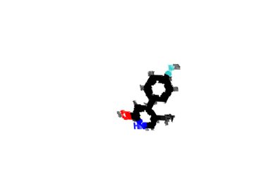 CC(C)c1c[nH]c(=O)cc1-c1ccc(F)cc1